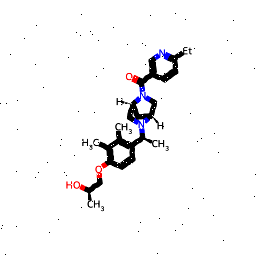 CCc1ccc(C(=O)N2C[C@@H]3C[C@H]2CN3[C@@H](C)c2ccc(OC[C@@H](C)O)c(C)c2C)cn1